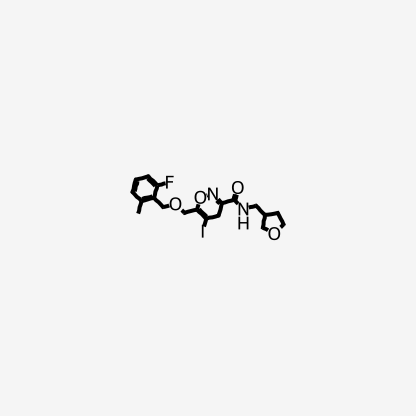 Cc1cccc(F)c1COCC1=C(I)CC(C(=O)NCC2CCOC2)=NO1